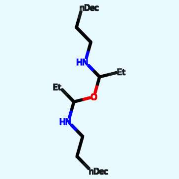 CCCCCCCCCCCCNC(CC)OC(CC)NCCCCCCCCCCCC